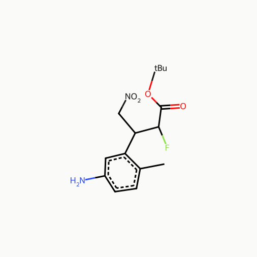 Cc1ccc(N)cc1C(C[N+](=O)[O-])C(F)C(=O)OC(C)(C)C